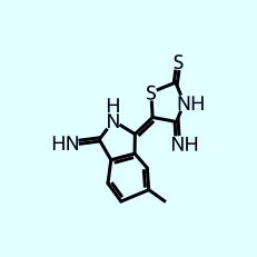 Cc1ccc2c(c1)C(=C1SC(=S)NC1=N)NC2=N